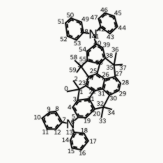 CC1(C)c2cc(N(c3ccccc3)c3ccccc3)cc3c2-c2c1c1c4c5c(ccc(c25)C3(C)C)C(C)(C)c2cc(N(c3ccccc3)c3ccccc3)cc(c2-4)C1(C)C